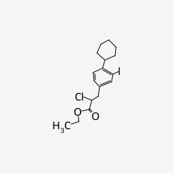 CCOC(=O)C(Cl)Cc1ccc(C2CCCCC2)c(I)c1